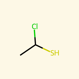 CC(S)Cl